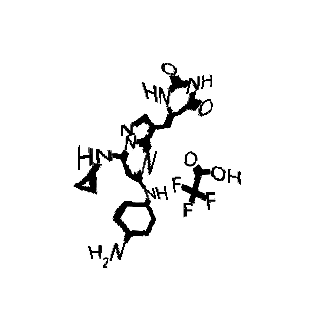 NC1CCC(Nc2cc(NC3CC3)n3ncc(C=C4NC(=O)NC4=O)c3n2)CC1.O=C(O)C(F)(F)F